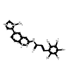 [2H]c1c([2H])c([2H])c(/C=C/C(=O)Nc2cc3cc(-c4cncn4C)ccc3nn2)c([2H])c1[2H]